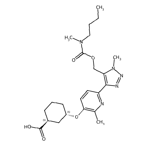 CCCCN(C)C(=O)OCc1c(-c2ccc(O[C@H]3CCC[C@H](C(=O)O)C3)c(C)n2)nnn1C